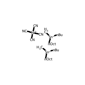 CCCCCCC[CH2][Sn+]([CH3])[CH2]CCC.CCCCCCC[CH2][Sn+]([CH3])[CH2]CCC.N#[C][Ni-2]([C]#N)([C]#N)[C]#N